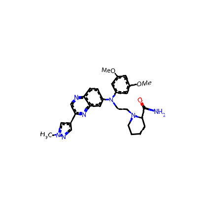 COc1cc(OC)cc(N(CCN2CCCCC2C(N)=O)c2ccc3ncc(-c4cnn(C)c4)nc3c2)c1